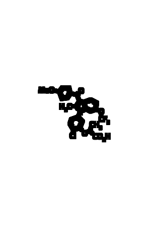 COc1ccc(C(=O)c2c(C)n(-c3ccc(Cl)c(OC(C)C(=O)O)c3)c3cc(OC(F)(F)F)ccc23)cc1